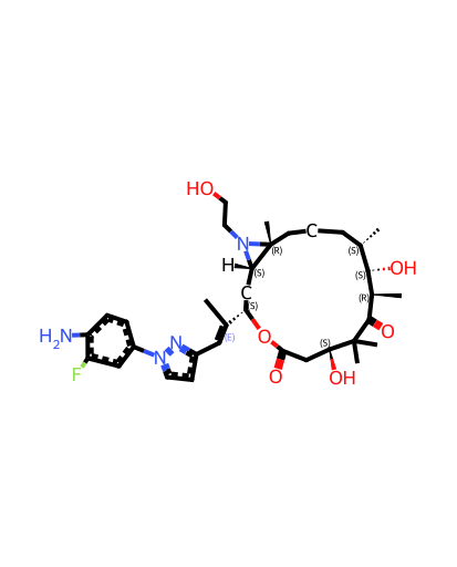 C/C(=C\c1ccn(-c2ccc(N)c(F)c2)n1)[C@@H]1C[C@@H]2N(CCO)[C@]2(C)CCC[C@H](C)[C@H](O)[C@@H](C)C(=O)C(C)(C)[C@@H](O)CC(=O)O1